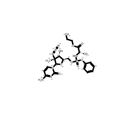 CCCOC(=O)[C@H](C)NP(=O)(OC[C@H]1OC(n2ccc(N)nc2=O)[C@](C)(N=[N+]=[N-])[C@@H]1O)Oc1ccccc1